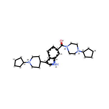 O=C(c1ccc2c(C3CCN(C4CCCC4)CC3)c[nH]c2c1)N1CCN(C2CCCC2)CC1